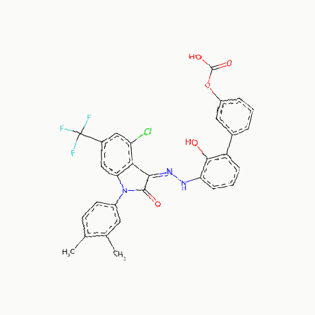 Cc1ccc(N2C(=O)C(=NNc3cccc(-c4cccc(OC(=O)O)c4)c3O)c3c(Cl)cc(C(F)(F)F)cc32)cc1C